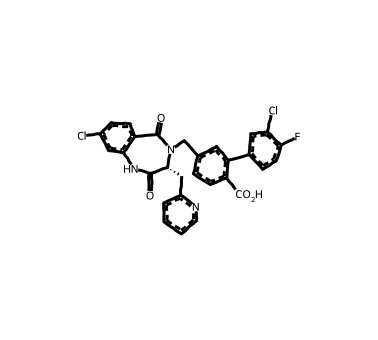 O=C(O)c1ccc(CN2C(=O)c3ccc(Cl)cc3NC(=O)[C@H]2Cc2ccccn2)cc1-c1ccc(F)c(Cl)c1